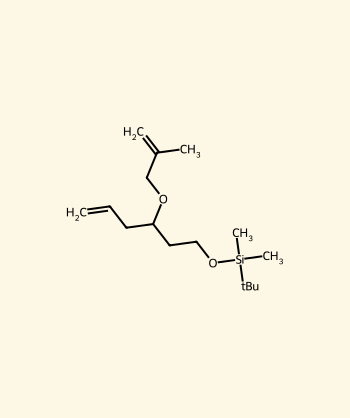 C=CCC(CCO[Si](C)(C)C(C)(C)C)OCC(=C)C